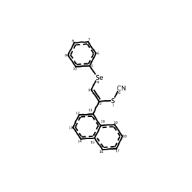 N#CSC(=C[Se]c1ccccc1)c1cccc2ccccc12